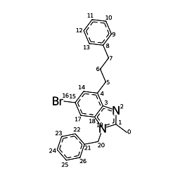 Cc1nc2c(CCCc3ccccc3)cc(Br)cc2n1Cc1ccccc1